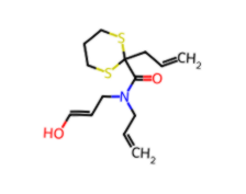 C=CCN(C/C=C/O)C(=O)C1(CC=C)SCCCS1